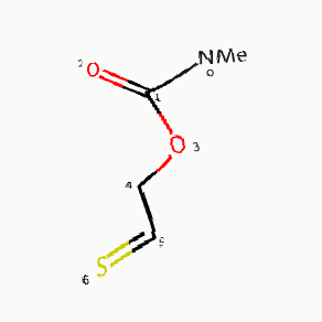 CNC(=O)OCC=S